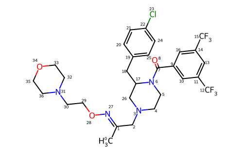 CC(CN1CCN(C(=O)c2cc(C(F)(F)F)cc(C(F)(F)F)c2)C(Cc2ccc(Cl)cc2)C1)=NOCCN1CCOCC1